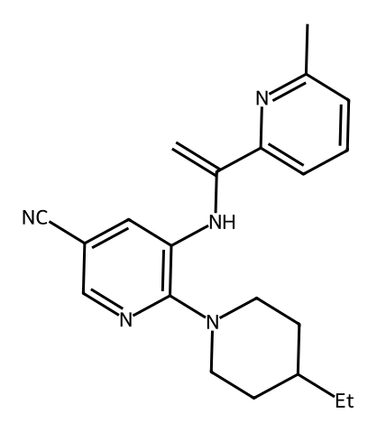 C=C(Nc1cc(C#N)cnc1N1CCC(CC)CC1)c1cccc(C)n1